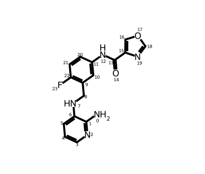 Nc1ncccc1NCc1cc(NC(=O)c2cocn2)ccc1F